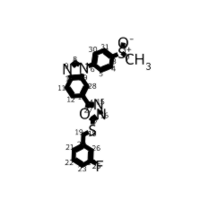 C[S+]([O-])c1ccc(-n2cnc3ccc(-c4nnc(SCc5cccc(F)c5)o4)cc32)cc1